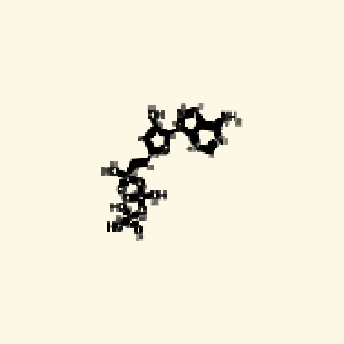 Nc1ncnc2c1nnn2[C@@H]1O[C@H](/C=C/P(=O)(O)OP(=O)(O)OP(=O)(O)O)C[C@H]1O